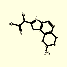 CCC(C(N)=O)C1=Nc2ccc3c(c2C1)CC(N)CC3